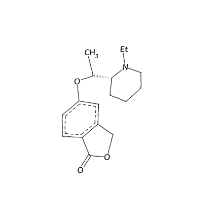 CCN1CCCC[C@@H]1C(C)Oc1ccc2c(c1)COC2=O